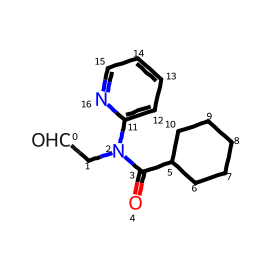 O=CCN(C(=O)C1CCCCC1)c1ccccn1